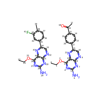 CCOc1nc(N)nc2ncc(-c3ccc(C(C)=O)cc3)nc12.CCOc1nc(N)nc2ncc(-c3ccc(C)c(F)c3)nc12